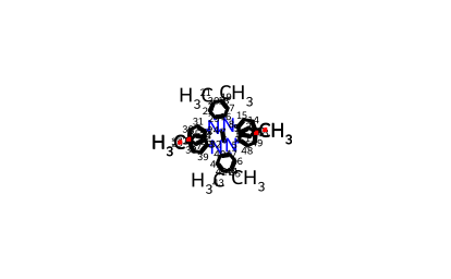 Cc1ccc(N2C(=C3N(c4ccc(C)cc4)c4cc(C)c(C)cc4N3c3ccc(C)cc3)N(c3ccc(C)cc3)c3cc(C)c(C)cc32)cc1